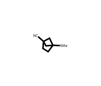 CNC12CCC(C#N)(C1)C2